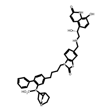 O=C(O)N(c1cc(CCCCn2c(=O)sc3cc(CNC[C@H](O)c4ccc(O)c5[nH]c(=O)ccc45)ccc32)ccc1-c1ccccc1)C1CN2CCC1CC2